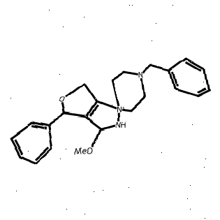 COC1N[N+]2(CCN(Cc3ccccc3)CC2)C2=C1C(c1ccccc1)OC2